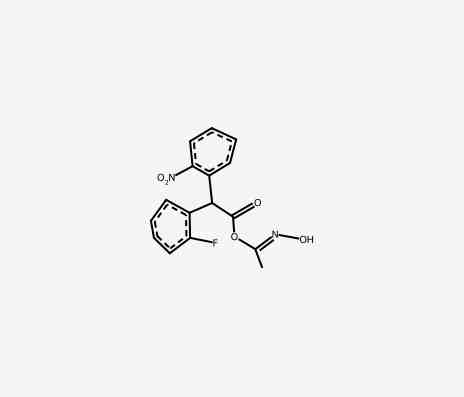 CC(=NO)OC(=O)C(c1ccccc1F)c1ccccc1[N+](=O)[O-]